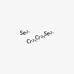 [Cr+3].[Cr+3].[Se-2].[Se-2]